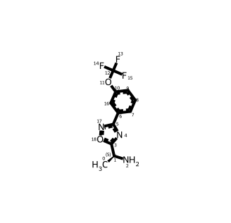 C[C@H](N)c1nc(-c2cccc(OC(F)(F)F)c2)no1